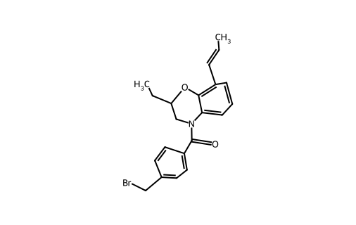 CC=Cc1cccc2c1OC(CC)CN2C(=O)c1ccc(CBr)cc1